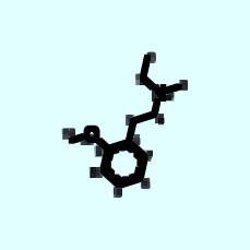 C[CH]N(C)CCc1ccccc1OC